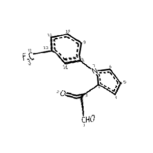 O=CC(=O)c1cccn1-c1cccc(C(F)(F)F)c1